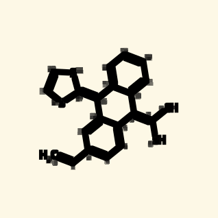 C=Cc1ccc2c(=C(S)S)c3ccccc3c(=C3SC=CS3)c2c1